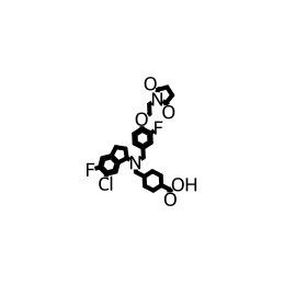 O=C(O)C1CCC(CN(Cc2ccc(OCCN3C(=O)CCC3=O)c(F)c2)C2CCc3cc(F)c(Cl)cc32)CC1